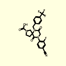 N#Cc1ccc(N2CC(=O)N(Cc3ccc(C(F)(F)F)cc3)C3(CCN(C(=O)O)C3)C2=O)c(F)c1